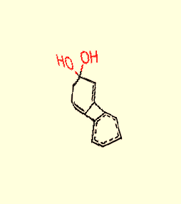 OC1(O)C=C2C(=CC1)c1ccccc12